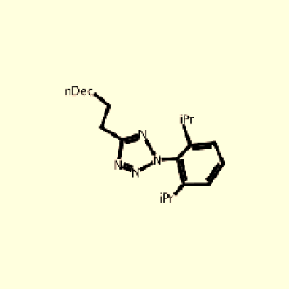 CCCCCCCCCCCCc1nnn(-c2c(C(C)C)cccc2C(C)C)n1